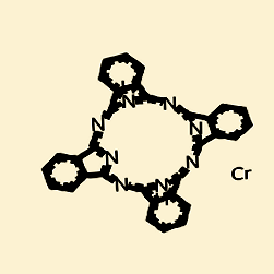 [Cr].c1ccc2c(c1)-c1nc-2nc2[nH]c(nc3nc(nc4[nH]c(n1)c1ccccc41)-c1ccccc1-3)c1ccccc21